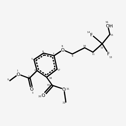 COC(=O)c1ccc(OCCCC(F)(F)CO)cc1C(=O)OC